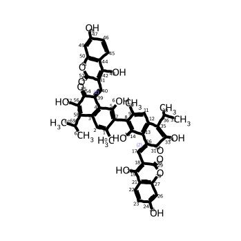 Cc1cc2c(c(O)c1-c1c(C)cc3c(c1O)/C(=C/c1c(O)c4ccc(O)cc4oc1=O)C(=O)C(O)=C3C(C)C)/C(=C/c1c(O)c3ccc(O)cc3oc1=O)C(=O)C(O)=C2C(C)C